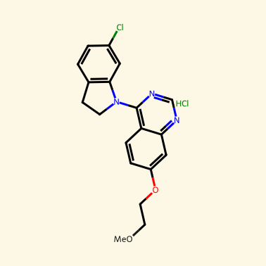 COCCOc1ccc2c(N3CCc4ccc(Cl)cc43)ncnc2c1.Cl